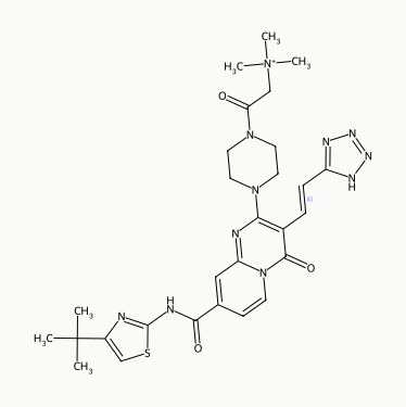 CC(C)(C)c1csc(NC(=O)c2ccn3c(=O)c(/C=C/c4nnn[nH]4)c(N4CCN(C(=O)C[N+](C)(C)C)CC4)nc3c2)n1